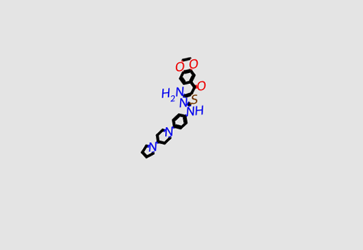 Nc1nc(Nc2ccc(N3CCC(N4CCCC4)CC3)cc2)sc1C(=O)c1ccc2c(c1)OCCO2